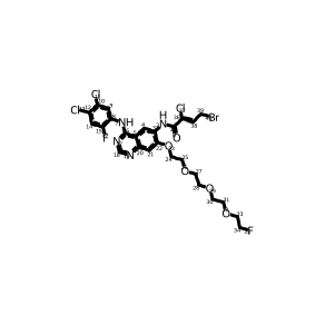 O=C(Nc1cc2c(Nc3cc(Cl)c(Cl)cc3F)ncnc2cc1OCCOCCOCCOCCF)C(Cl)=CCBr